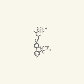 CC(COc1ccc2c3ccncc3c(=O)n(CC(F)(F)F)c2c1)CC(C)NC(=O)O